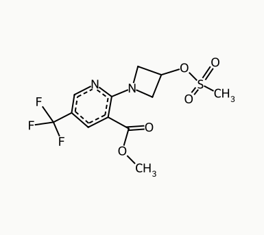 COC(=O)c1cc(C(F)(F)F)cnc1N1CC(OS(C)(=O)=O)C1